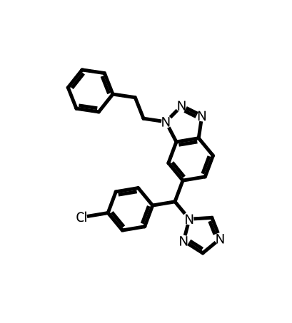 Clc1ccc(C(c2ccc3nnn(CCc4ccccc4)c3c2)n2cncn2)cc1